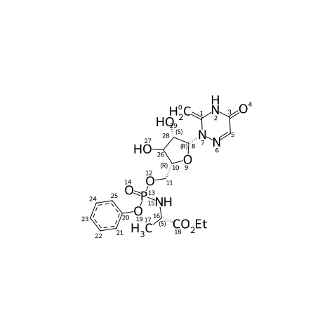 C=C1NC(=O)C=NN1[C@@H]1O[C@H](COP(=O)(N[C@@H](C)C(=O)OCC)Oc2ccccc2)C(O)[C@@H]1O